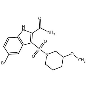 COC1CCCN(S(=O)(=O)c2c(C(N)=O)[nH]c3ccc(Br)cc23)C1